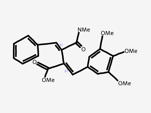 CNC(=O)C(=C/c1ccccc1)/C(=C\c1cc(OC)c(OC)c(OC)c1)C(=O)OC